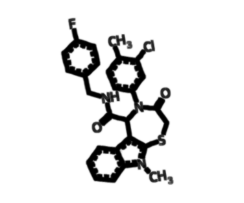 Cc1ccc(N2C(=O)CSc3c(c4ccccc4n3C)C2C(=O)NCc2ccc(F)cc2)cc1Cl